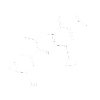 NC1CN(c2nc3c(cc2F)c(=O)c(C(=O)O)cn3C2CC2)CC2CC12